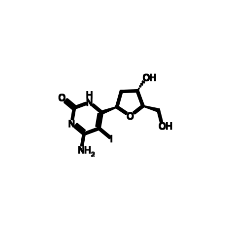 Nc1nc(=O)[nH]c([C@H]2C[C@H](O)[C@@H](CO)O2)c1I